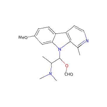 COc1ccc2c3ccnc(C)c3n(C(OC=O)C(C)N(C)C)c2c1